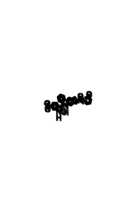 COC(=O)c1ccc2c(c1)NC(=O)/C2=C(\Nc1ccc2c(c1)CN(C(=O)CN1CCCC(=O)C1)C2)c1ccccc1